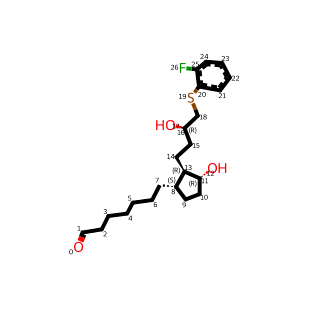 O=CCCCCCC[C@H]1CC[C@@H](O)[C@@H]1CC[C@@H](O)CSc1ccccc1F